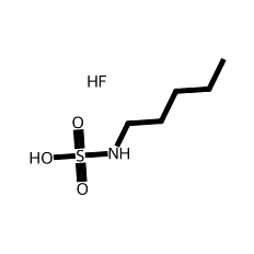 CCCCCNS(=O)(=O)O.F